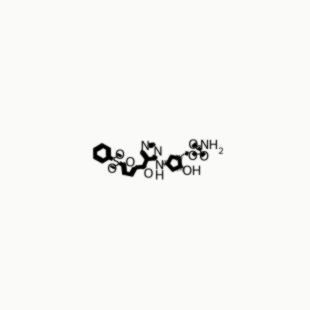 NS(=O)(=O)OC[C@H]1C[C@@H](Nc2ncncc2C(=O)c2ccc(S(=O)(=O)c3ccccc3)o2)C[C@@H]1O